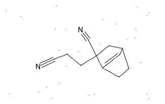 N#CCCC1(C#N)CC2C=CC1CC2